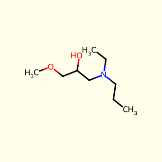 CCCN(CC)CC(O)COC